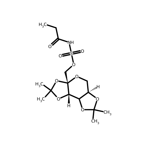 CCC(=O)NS(=O)(=O)OC[C@@]12OC[C@H]3OC(C)(C)OC3[C@@H]1OC(C)(C)O2